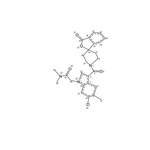 Cc1cc2c(C(=O)N3CCC4(CC3)OC(=O)c3ccccc34)cn(CC(=O)N(C)C)c2cc1Cl